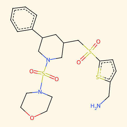 NCc1ccc(S(=O)(=O)CC2CC(c3ccccc3)CN(S(=O)(=O)N3CCOCC3)C2)s1